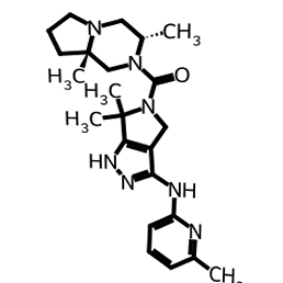 Cc1cccc(Nc2n[nH]c3c2CN(C(=O)N2C[C@]4(C)CCCN4C[C@@H]2C)C3(C)C)n1